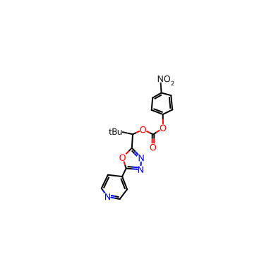 CC(C)(C)C(OC(=O)Oc1ccc([N+](=O)[O-])cc1)c1nnc(-c2ccncc2)o1